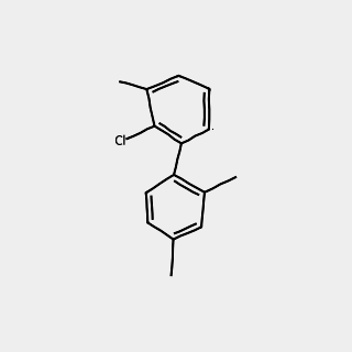 Cc1ccc(-c2[c]ccc(C)c2Cl)c(C)c1